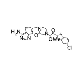 COC(C(=O)c1cc2cc(Cl)ccc2s1)N1CCN(Cc2ccc3c(N)ncnc3c2)C(=O)C1